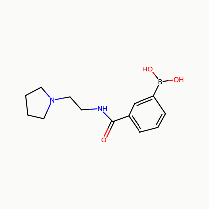 O=C(NCCN1CCCC1)c1cccc(B(O)O)c1